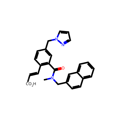 CN(Cc1ccc2ccccc2c1)C(=O)c1cc(Cn2cccn2)ccc1C=CC(=O)O